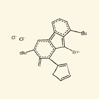 C=c1c(C(C)(C)C)cc2c(c1C1=CC=CC1)[C]([Zr+2])=c1c(C(C)(C)C)cccc1=2.[Cl-].[Cl-]